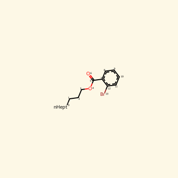 CCCCCCCCCCOC(=O)c1ccccc1Br